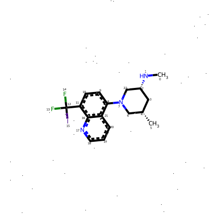 CN[C@@H]1C[C@H](C)CN(c2ccc(C(F)(F)I)c3ncccc23)C1